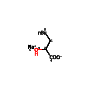 CCCCCC(O)C(=O)[O-].[Na+]